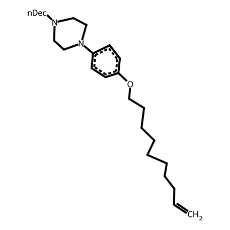 C=CCCCCCCCCOc1ccc(N2CCN(CCCCCCCCCC)CC2)cc1